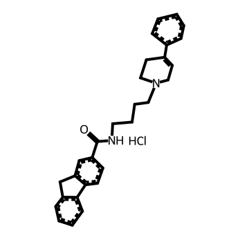 Cl.O=C(NCCCCN1CC=C(c2ccccc2)CC1)c1ccc2c(c1)Cc1ccccc1-2